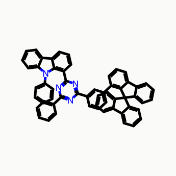 c1ccc(-c2nc(-c3cccc(-c4cccc5c4C4(c6ccccc6-c6ccccc64)c4ccccc4-5)c3)nc(-c3cccc4c5ccccc5n(-c5ccccc5)c34)n2)cc1